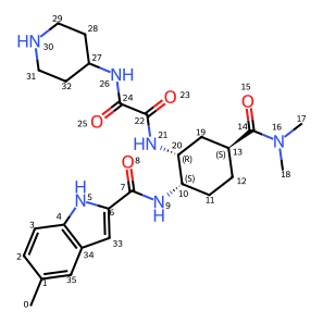 Cc1ccc2[nH]c(C(=O)N[C@H]3CC[C@H](C(=O)N(C)C)C[C@H]3NC(=O)C(=O)NC3CCNCC3)cc2c1